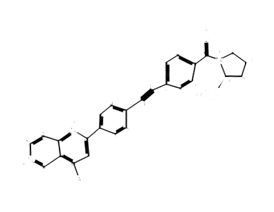 CC(=O)c1cc(-c2ccc(C#Cc3ccc(C(=O)N4CCC[C@H]4C(=O)O)cc3)cc2)nc2ccncc12